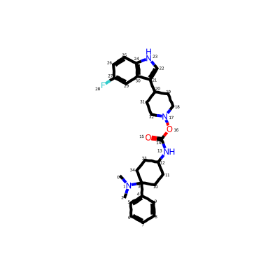 CN(C)C1(c2ccccc2)CCC(NC(=O)ON2CCC(c3c[nH]c4ccc(F)cc34)CC2)CC1